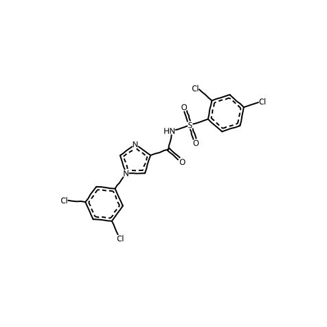 O=C(NS(=O)(=O)c1ccc(Cl)cc1Cl)c1cn(-c2cc(Cl)cc(Cl)c2)cn1